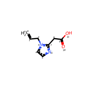 C=CCn1ccnc1CC(=O)O